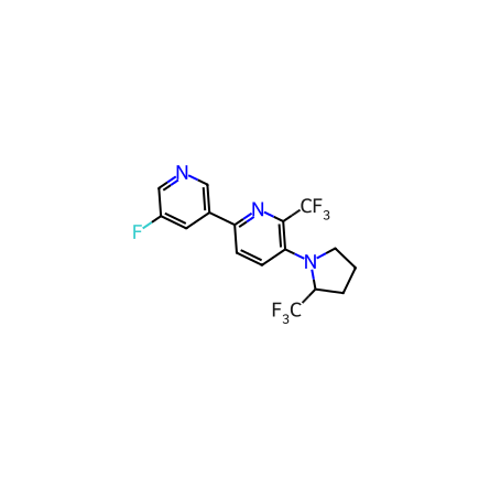 Fc1cncc(-c2ccc(N3CCCC3C(F)(F)F)c(C(F)(F)F)n2)c1